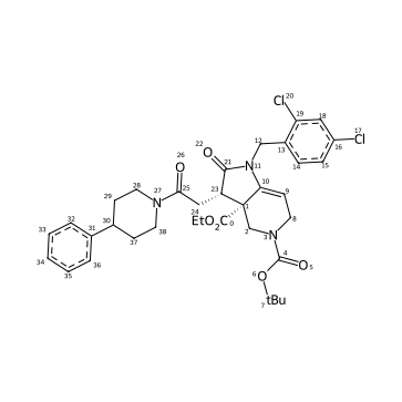 CCOC(=O)[C@@]12CN(C(=O)OC(C)(C)C)CC=C1N(Cc1ccc(Cl)cc1Cl)C(=O)[C@H]2CC(=O)N1CCC(c2ccccc2)CC1